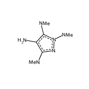 CNc1nn(NC)c(NC)c1N